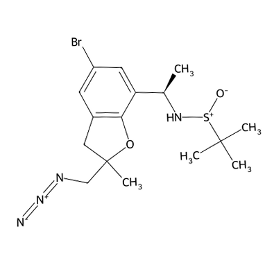 C[C@@H](N[S+]([O-])C(C)(C)C)c1cc(Br)cc2c1OC(C)(CN=[N+]=[N-])C2